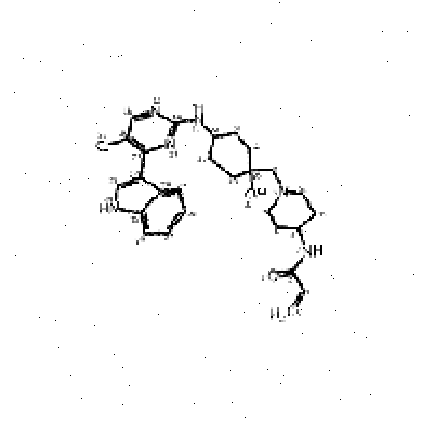 C=CC(=O)NC1CCN(CC2(O)CCC(Nc3ncc(Cl)c(-c4c[nH]c5ccccc45)n3)CC2)CC1